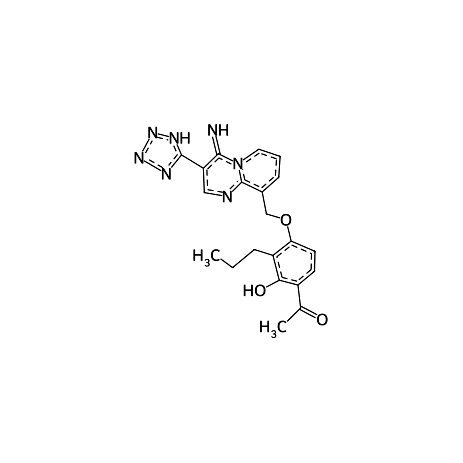 CCCc1c(OCc2cccn3c(=N)c(-c4nnn[nH]4)cnc23)ccc(C(C)=O)c1O